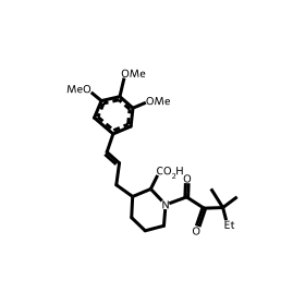 CCC(C)(C)C(=O)C(=O)N1CCCC(C/C=C/c2cc(OC)c(OC)c(OC)c2)C1C(=O)O